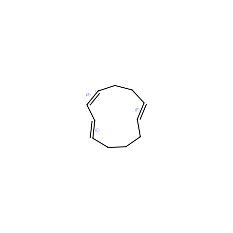 [C]1=C\C=C\CCC/C=C/CC/1